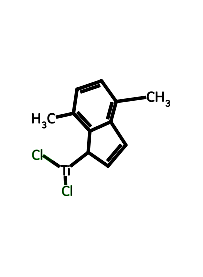 Cc1ccc(C)c2c1C=C[CH]2[Ti]([Cl])[Cl]